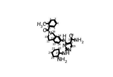 Cc1ccccc1C(=O)N1CCc2ccc(Nc3nc(NC4CCCCC4N)ncc3C(N)=O)cc2C1